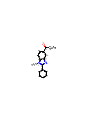 CCCn1c(-c2ccccc2)nc2cc(C(=O)OC)ccc21